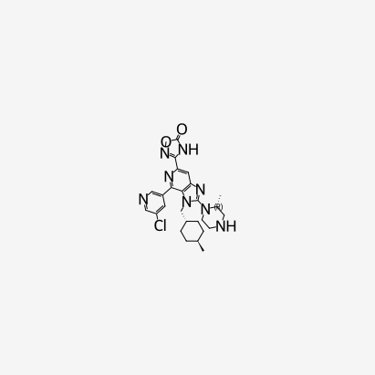 C[C@@H]1CNCCN1c1nc2cc(-c3noc(=O)[nH]3)nc(-c3cncc(Cl)c3)c2n1C[C@H]1CC[C@H](C)CC1